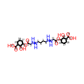 O=C(CNNCCCCNNCC(=O)Oc1cccc(C(=O)O)c1O)Oc1cccc(C(=O)O)c1O